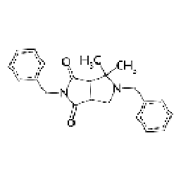 CC1(C)C2C(=O)N(Cc3ccccc3)C(=O)C2CN1Cc1ccccc1